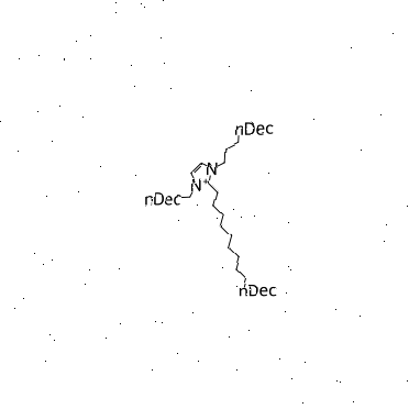 CCCCCCCCCCCCCCCCCCCc1n(CCCCCCCCCCCCC)cc[n+]1CCCCCCCCCCC